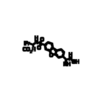 CC(C)C(NS(=O)(=O)c1ccc2c(c1)oc1cc(C(=N)NO)ccc12)C(=O)O